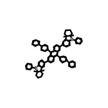 CC12CCCCC1(C)c1cc(-c3ccc4c(-c5ccc(-c6ccccc6)cc5)c5cc(-c6ccc7c(c6)C6(C)CCCCC6(C)B7c6ccccc6)ccc5c(-c5ccc(-c6ccccc6)cc5)c4c3)ccc1B2c1ccccc1